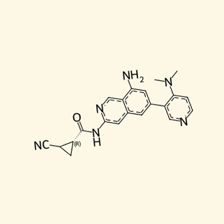 CN(C)c1ccncc1-c1cc(N)c2cnc(NC(=O)[C@@H]3CC3C#N)cc2c1